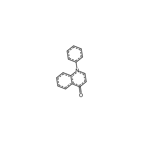 O=c1ccn(-c2ccccc2)c2ccccc12